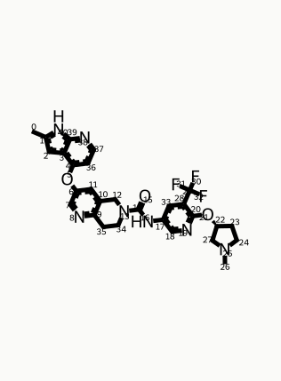 Cc1cc2c(Oc3cnc4c(c3)CN(C(=O)Nc3cnc(O[C@H]5CCN(C)C5)c(C(F)(F)F)c3)CC4)ccnc2[nH]1